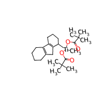 CC(C)(C)C(=O)[O][Ti]([CH3])([O]C(=O)C(C)(C)C)[CH]1CCCC2=C1CC1=C2CCCC1